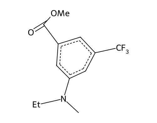 CCN(C)c1cc(C(=O)OC)cc(C(F)(F)F)c1